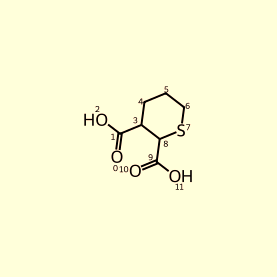 O=C(O)C1CCCSC1C(=O)O